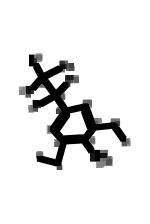 CCc1cc(C(F)(F)C(F)(F)F)cc(CC)c1N